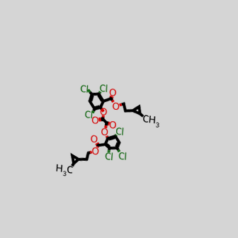 CC1CC1CCOC(=O)c1c(Cl)c(Cl)cc(Cl)c1OC(=O)C(=O)Oc1c(Cl)cc(Cl)c(Cl)c1C(=O)OCCC1CC1C